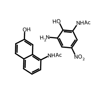 CC(=O)Nc1cc([N+](=O)[O-])cc(N)c1O.CC(=O)Nc1cccc2ccc(O)cc12